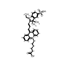 CC[N+]1=C(/C=C/C=C2c3ccccc3N(CCCCCC(=O)O)c3ccccc32)C(C)(C)c2cc(S(=O)(=O)O)ccc21